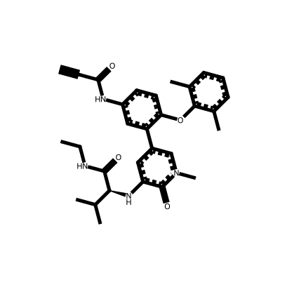 C#CC(=O)Nc1ccc(Oc2c(C)cccc2C)c(-c2cc(N[C@H](C(=O)NCC)C(C)C)c(=O)n(C)c2)c1